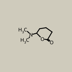 CN(C)C1CCCC(=O)O1